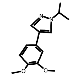 COc1ccc(-c2cnn(C(C)C)c2)cc1OC